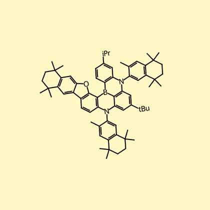 Cc1cc2c(cc1N1c3cc(C(C)C)ccc3B3c4c1cc(C(C)(C)C)cc4N(c1cc4c(cc1C)C(C)(C)CCC4(C)C)c1ccc4c(oc5cc6c(cc54)C(C)(C)CCC6(C)C)c13)C(C)(C)CCC2(C)C